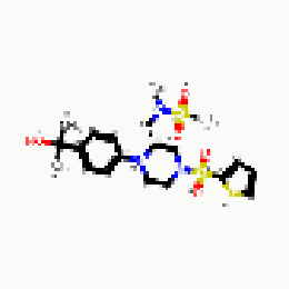 CCCN(C[C@@H]1CN(S(=O)(=O)c2cccs2)CCN1c1ccc(C(C)(O)C(F)(F)F)cc1)S(C)(=O)=O